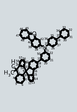 CC1(C)c2ccccc2C2(c3ccccc3-c3cc(-c4cccc(N(c5ccc(-c6ccccc6)cc5)c5ccc6c(c5)oc5ccccc56)c4)ccc32)c2ccccc21